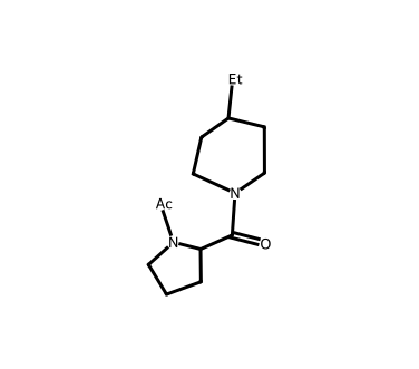 [CH2]CC1CCN(C(=O)C2CCCN2C(C)=O)CC1